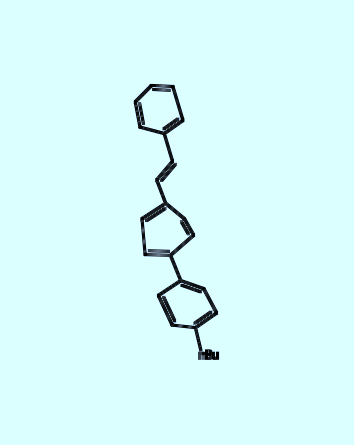 CCCCc1ccc(-c2ccc(C=Cc3ccccc3)cc2)cc1